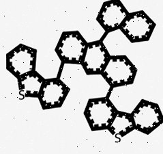 c1ccc2c(-c3c4cccc(-c5cccc6sc7ccccc7c56)c4cc4c(-c5cccc6sc7ccccc7c56)cccc34)cccc2c1